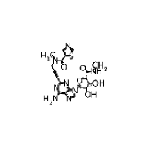 CNC(=O)[C@H]1O[C@@H](n2cnc3c(N)nc(C#CCN(C)C(=O)c4cncs4)nc32)C(O)[C@@H]1O